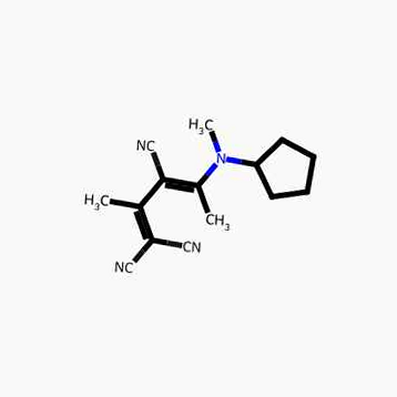 CC(=C(C#N)C#N)/C(C#N)=C(\C)N(C)C1CCCC1